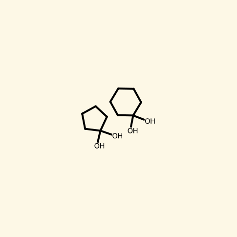 OC1(O)CCCC1.OC1(O)CCCCC1